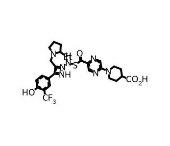 CCC1CCCN1Cc1c(-c2ccc(O)c(C(F)(F)F)c2)[nH]n1NSC(=O)c1cnc(N2CCC(C(=O)O)CC2)cn1